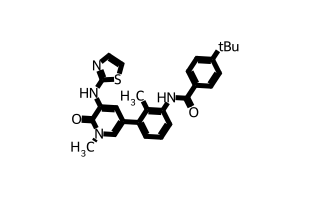 Cc1c(NC(=O)c2ccc(C(C)(C)C)cc2)cccc1-c1cc(Nc2nccs2)c(=O)n(C)c1